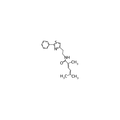 CC(C)=C/C=C(\C)C(=O)NCCc1csc(-c2ccccc2)n1